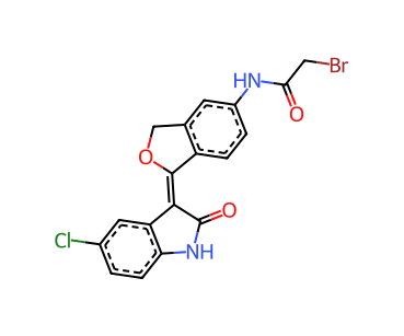 O=C(CBr)Nc1ccc2c(c1)COC2=C1C(=O)Nc2ccc(Cl)cc21